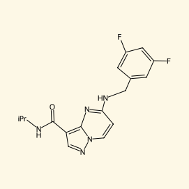 CC(C)NC(=O)c1cnn2ccc(NCc3cc(F)cc(F)c3)nc12